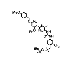 CCOc1cc(OCc2ccc(OC)cc2)ncc1-c1ncc(NC(=O)Nc2ccc(CC(C)(C)CO[Si](C)(C)C(C)(C)C)c(C(F)(F)F)c2)c(C)n1